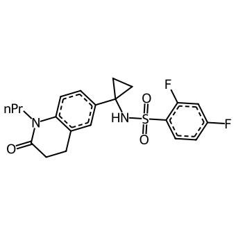 CCCN1C(=O)CCc2cc(C3(NS(=O)(=O)c4ccc(F)cc4F)CC3)ccc21